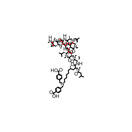 CC[C@H](NC(=O)C(C[C@H](C)CCCCCCN(Cc1ccc(C(=O)O)cc1)Cc1ccc(C(=O)O)cc1)N(C)C(=O)CC(C)C)C(=O)N(C)[C@H](CSCCCCO)C(=O)N(C)[C@@H](CC(C)C)C(=O)N[C@H](C(=O)N(C)[C@@H](CC(C)C)C(=O)N[C@H](C)C(=O)NC(C)C(=O)N(C)[C@@H](CC(C)C)C(=O)N(C)C(=O)NC)C(C)C